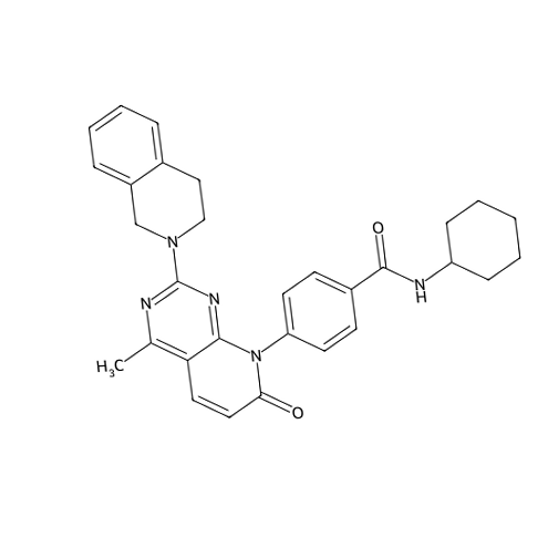 Cc1nc(N2CCc3ccccc3C2)nc2c1ccc(=O)n2-c1ccc(C(=O)NC2CCCCC2)cc1